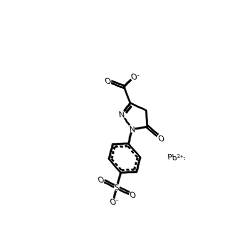 O=C([O-])C1=NN(c2ccc(S(=O)(=O)[O-])cc2)C(=O)C1.[Pb+2]